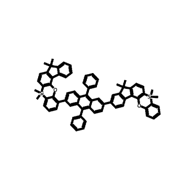 CC1(C)c2cc(-c3ccc4c(-c5ccccc5)c5cc(-c6cccc7c6Oc6c(ccc8c6-c6ccccc6C8(C)C)[Si]7(C)C)ccc5c(-c5ccccc5)c4c3)ccc2-c2c1ccc1c2Oc2ccccc2[Si]1(C)C